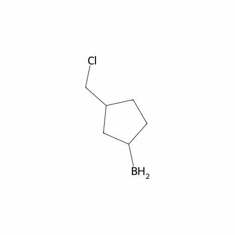 BC1CCC(CCl)C1